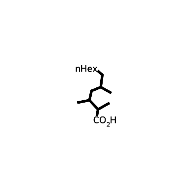 CCCCCCCC(C)CC(C)C(C)C(=O)O